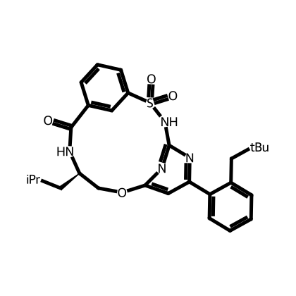 CC(C)C[C@@H]1COc2cc(-c3ccccc3CC(C)(C)C)nc(n2)NS(=O)(=O)c2cccc(c2)C(=O)N1